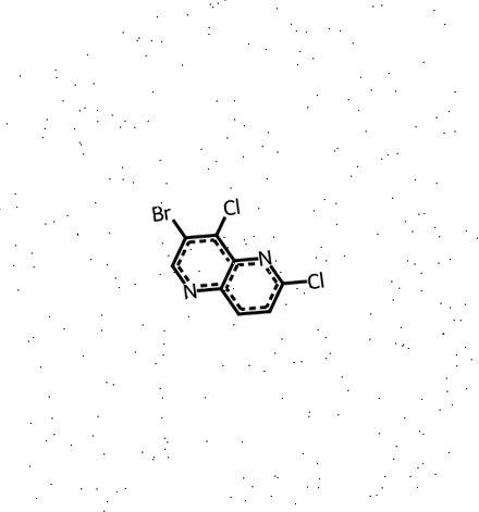 Clc1ccc2ncc(Br)c(Cl)c2n1